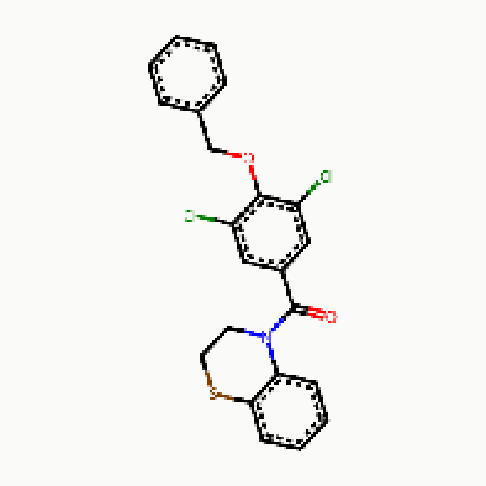 O=C(c1cc(Cl)c(OCc2ccccc2)c(Cl)c1)N1CCSc2ccccc21